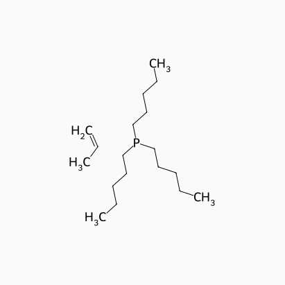 C=CC.CCCCCP(CCCCC)CCCCC